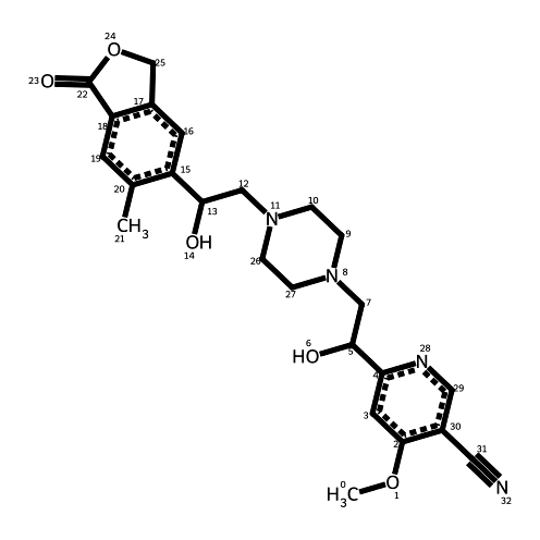 COc1cc(C(O)CN2CCN(CC(O)c3cc4c(cc3C)C(=O)OC4)CC2)ncc1C#N